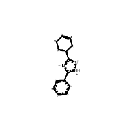 C1=CCC(c2n[nH]c(-c3ccccc3)n2)CC1